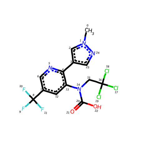 Cn1cc(-c2ncc(C(F)(F)F)cc2N(CC(Cl)(Cl)Cl)C(=O)O)cn1